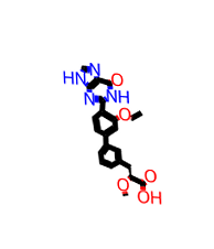 CCOc1cc(-c2cccc(C[C@H](OC)C(=O)O)c2)ccc1-c1nc2[nH]cnc2c(=O)[nH]1